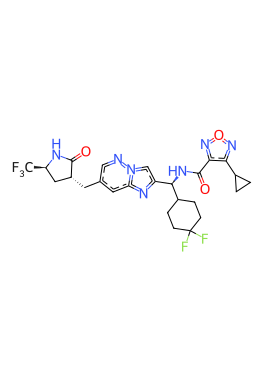 O=C(N[C@H](c1cn2ncc(C[C@@H]3C[C@@H](C(F)(F)F)NC3=O)cc2n1)C1CCC(F)(F)CC1)c1nonc1C1CC1